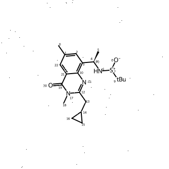 Cc1cc([C@@H](C)N[S+]([O-])C(C)(C)C)c2nc(CC3CC3)n(C)c(=O)c2c1